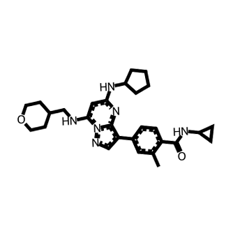 Cc1cc(-c2cnn3c(NCC4CCOCC4)cc(NC4CCCC4)nc23)ccc1C(=O)NC1CC1